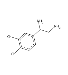 NCC(N)c1ccc(Cl)c(Cl)c1